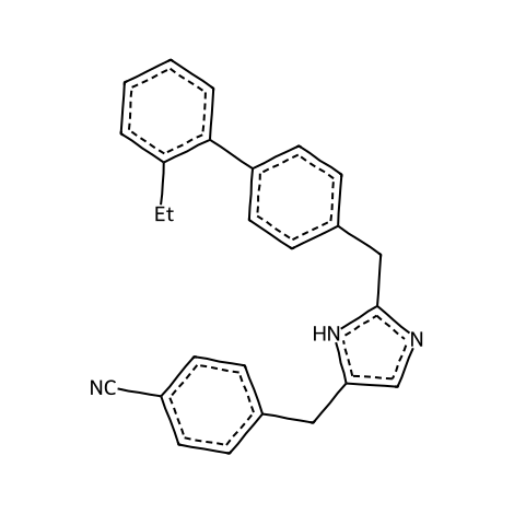 CCc1ccccc1-c1ccc(Cc2ncc(Cc3ccc(C#N)cc3)[nH]2)cc1